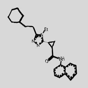 CCn1c(CCC2CCCCC2)nnc1[C@@H]1CC1C(=O)Nc1cccc2ccccc12